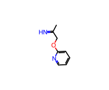 CC(=N)COc1ccccn1